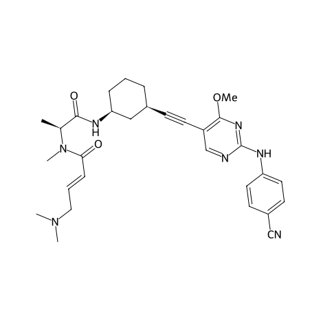 COc1nc(Nc2ccc(C#N)cc2)ncc1C#C[C@@H]1CCC[C@H](NC(=O)[C@H](C)N(C)C(=O)/C=C/CN(C)C)C1